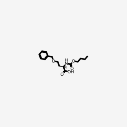 CCCCOC(=O)N[C@H](CCOCc1ccccc1)C(=O)O